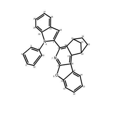 c1ccc(-n2c(-c3nc4oc5ccccc5c4c4c3C3CCC4C3)cc3ccccc32)cc1